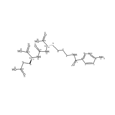 Nc1ccc(C(=O)NCCCC[C@H](NC(=O)N[C@@H](CCC(=O)O)C(=O)O)C(=O)O)cn1